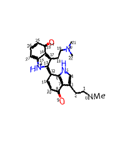 CNCCc1c[nH]c2c1C(=O)C=CC2=c1[nH]c2c(c1CCN(C)C)C(=O)C=CC=2